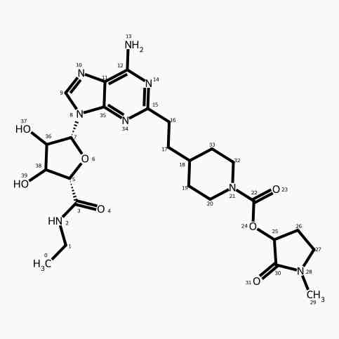 CCNC(=O)[C@H]1O[C@@H](n2cnc3c(N)nc(CCC4CCN(C(=O)OC5CCN(C)C5=O)CC4)nc32)C(O)C1O